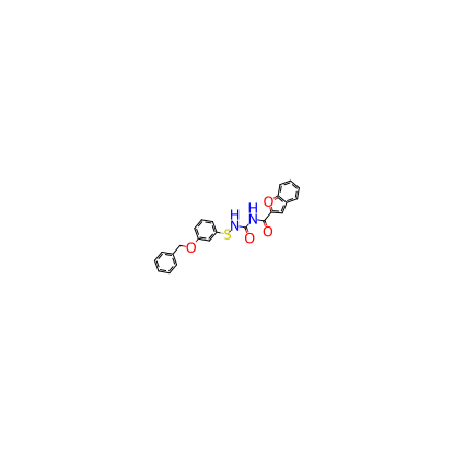 O=C(NSc1cccc(OCc2ccccc2)c1)NC(=O)c1cc2ccccc2o1